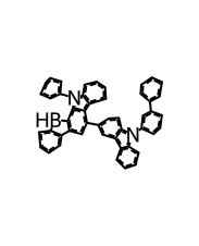 B1c2ccccc2-c2cc(-c3ccc4c(c3)c3ccccc3n4-c3cccc(-c4ccccc4)c3)c3c4ccccc4n(-c4ccccc4)c3c21